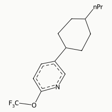 CCCC1CCC(c2ccc(OC(F)(F)F)nc2)CC1